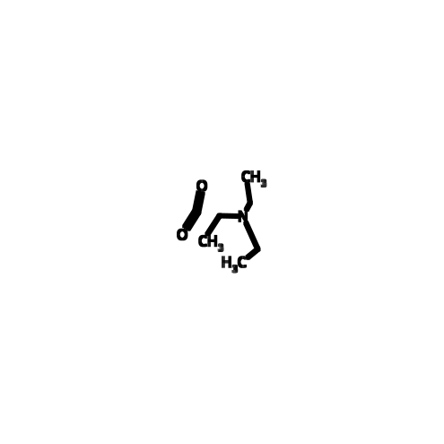 CCN(CC)CC.O=C=O